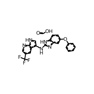 FC(F)(F)c1cnc2[nH]cc(Nc3nc4cc(Oc5ccccc5)ccc4[nH]3)c2c1.O=CO